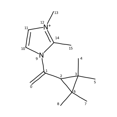 C=C(C1C(C)(C)C1(C)C)n1cc[n+](C)c1C